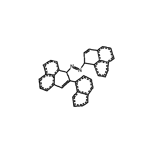 C1=CC(N=NC2C(c3cccc4ccccc34)=Cc3cccc4cccc2c34)c2cccc3cccc1c23